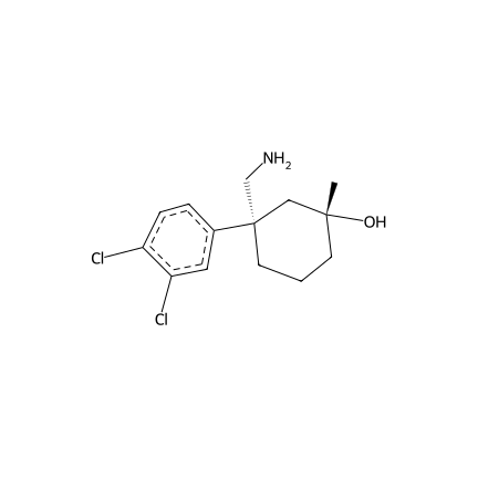 C[C@@]1(O)CCC[C@@](CN)(c2ccc(Cl)c(Cl)c2)C1